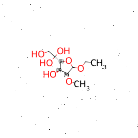 CCOC1O[C@@H](C(O)(O)CO)[C@H](O)[C@H]1OC